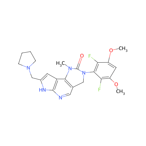 COc1cc(OC)c(F)c(N2Cc3cnc4[nH]c(CN5CCCC5)cc4c3N(C)C2=O)c1F